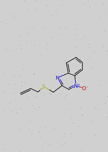 C=CCSCc1c[n+]([O-])c2ccccc2n1